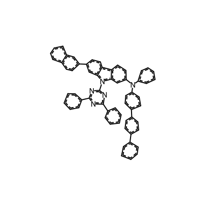 c1ccc(-c2ccc(-c3ccc(N(c4ccccc4)c4ccc5c6ccc(-c7ccc8ccccc8c7)cc6n(-c6nc(-c7ccccc7)nc(-c7ccccc7)n6)c5c4)cc3)cc2)cc1